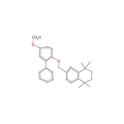 CC1(C)CCC(C)(C)c2cc(COc3ccc(OC(=O)O)cc3-c3ccccc3)ccc21